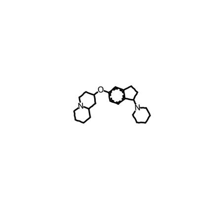 c1cc2c(cc1OC1CCN3CCCCC3C1)CCC2N1CCCCC1